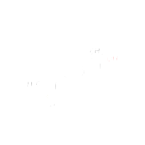 CCC(CCc1ccc(O)c(C)c1)c1cccs1